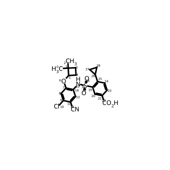 CC1(C)CCC1Oc1cc(Cl)c(C#N)cc1NS(=O)(=O)c1cc(C(=O)O)ccc1C1CC1